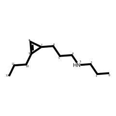 CCCNCCCC1C=C1CCC